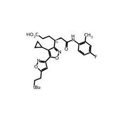 Cc1cc(F)ccc1NC(=O)C[C@H](CCC(=O)O)c1noc(-c2cc(CCC(C)(C)C)on2)c1C1CC1